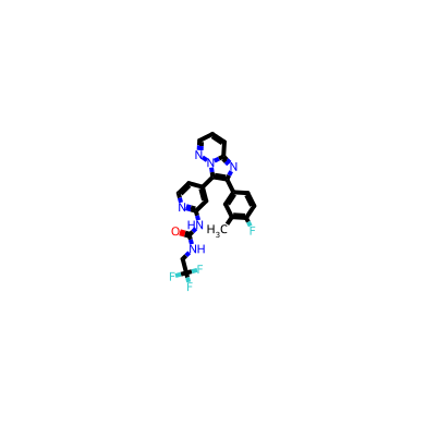 Cc1cc(-c2nc3cccnn3c2-c2ccnc(NC(=O)NCC(F)(F)F)c2)ccc1F